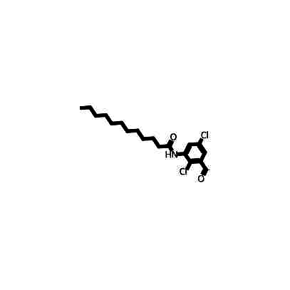 CCCCCCCCCCCC(=O)Nc1cc(Cl)cc([C]=O)c1Cl